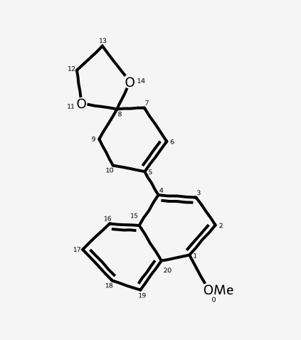 COc1ccc(C2=CCC3(CC2)OCCO3)c2ccccc12